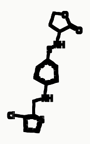 O=C1OCCC1NSc1ccc(NCc2sccc2Cl)cc1